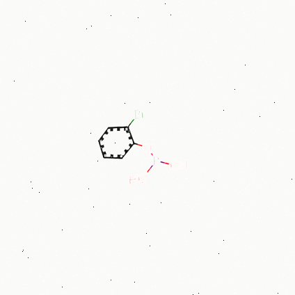 OP(O)Oc1ccccc1Br